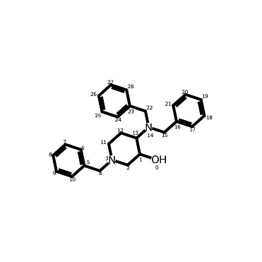 OC1CN(Cc2ccccc2)CCC1N(Cc1ccccc1)Cc1ccccc1